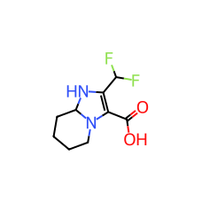 O=C(O)C1=C(C(F)F)NC2CCCCN12